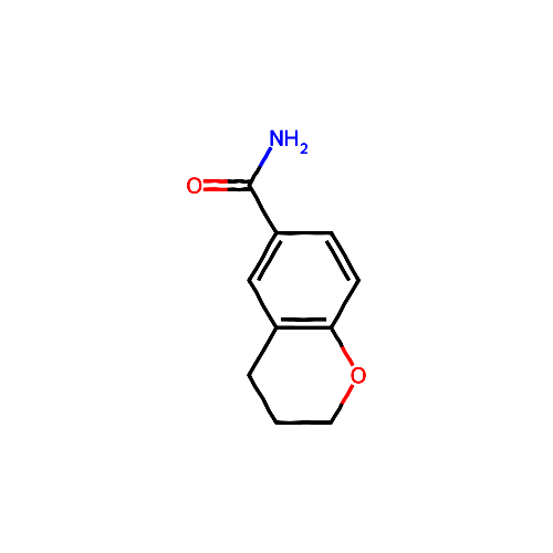 NC(=O)c1ccc2c(c1)CCCO2